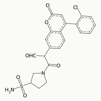 NS(=O)(=O)C1CCN(C(=O)C(C=O)c2ccc3c(-c4ccccc4Cl)cc(=O)oc3c2)C1